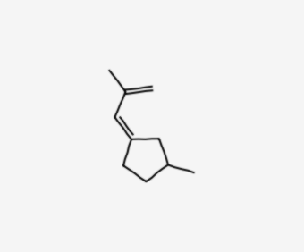 C=C(C)C=C1CCC(C)C1